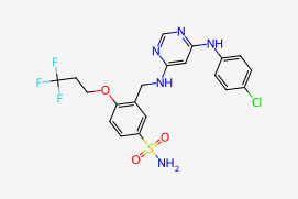 NS(=O)(=O)c1ccc(OCCC(F)(F)F)c(CNc2cc(Nc3ccc(Cl)cc3)ncn2)c1